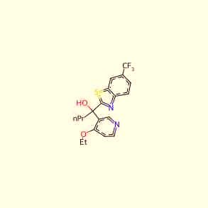 CCCC(O)(c1nc2ccc(C(F)(F)F)cc2s1)c1cnccc1OCC